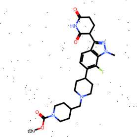 Cn1nc(C2CCC(=O)NC2=O)c2ccc(C3CCN(CC4CCN(C(=O)OC(C)(C)C)CC4)CC3)c(F)c21